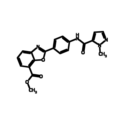 COC(=O)c1cccc2nc(-c3ccc(NC(=O)c4ccnn4C)cc3)oc12